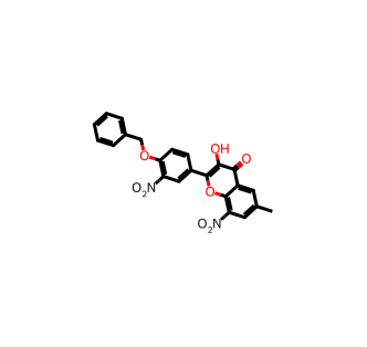 Cc1cc([N+](=O)[O-])c2oc(-c3ccc(OCc4ccccc4)c([N+](=O)[O-])c3)c(O)c(=O)c2c1